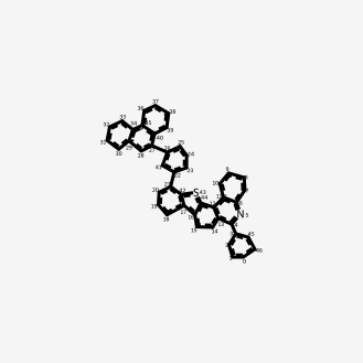 c1ccc(-c2nc3ccccc3c3c2ccc2c4cccc(-c5cccc(-c6cc7ccccc7c7ccccc67)c5)c4sc23)cc1